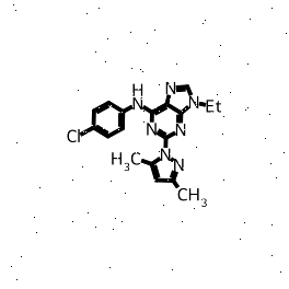 CCn1cnc2c(Nc3ccc(Cl)cc3)nc(-n3nc(C)cc3C)nc21